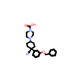 N#CC1(c2cccc(OCc3ccccc3)c2)CCC(N2CCN(C(=O)O)CC2)CC1